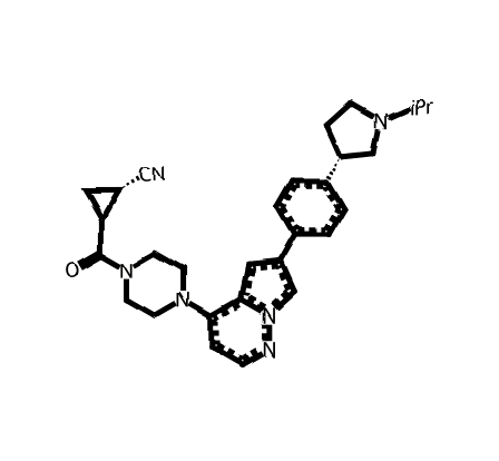 CC(C)N1CC[C@@H](c2ccc(-c3cc4c(N5CCN(C(=O)C6C[C@@H]6C#N)CC5)ccnn4c3)cc2)C1